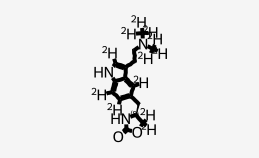 [2H]c1[nH]c2c([2H])c([2H])c(C[C@@H]3NC(=O)OC3([2H])[2H])c([2H])c2c1CCN(C([2H])([2H])[2H])C([2H])([2H])[2H]